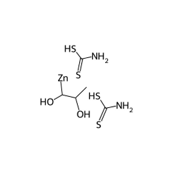 CC(O)[CH](O)[Zn].NC(=S)S.NC(=S)S